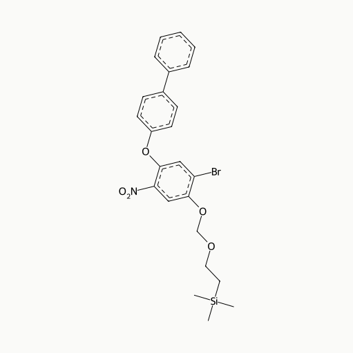 C[Si](C)(C)CCOCOc1cc([N+](=O)[O-])c(Oc2ccc(-c3ccccc3)cc2)cc1Br